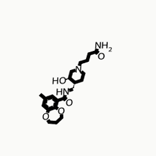 Cc1cc2c(c(C(=O)NC[C@H]3CCN(CCCC(N)=O)C[C@H]3O)c1)OCCCO2